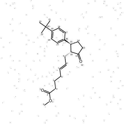 COC(=O)CCCC=CC[C@H]1C(=O)CC[C@@H]1c1ccc(C(C)(C)C)cc1